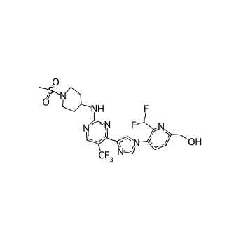 CS(=O)(=O)N1CCC(Nc2ncc(C(F)(F)F)c(-c3cn(-c4ccc(CO)nc4C(F)F)cn3)n2)CC1